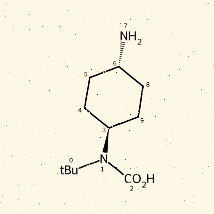 CC(C)(C)N(C(=O)O)[C@H]1CC[C@H](N)CC1